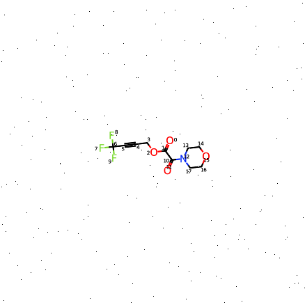 O=C(OCC#CC(F)(F)F)C(=O)N1CCOCC1